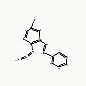 [N-]=[N+]=Nc1ncc(Br)cc1C=Nc1cccnc1